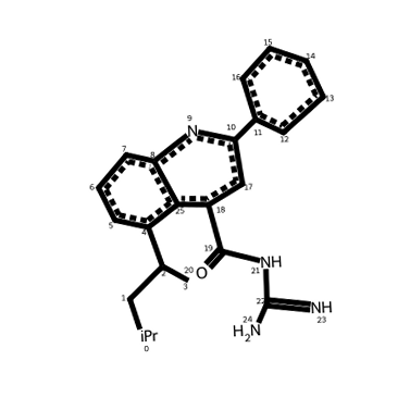 CC(C)CC(C)c1cccc2nc(-c3ccccc3)cc(C(=O)NC(=N)N)c12